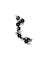 CN1CCC(OC(=O)C(O)(c2ccccc2)c2cccc(-c3ccc(CNC(=O)c4ccc(CNC[C@H](O)c5ccc(O)c6[nH]c(=O)ccc56)cc4)s3)c2)CC1